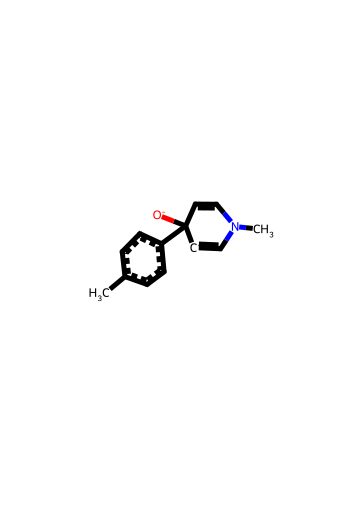 Cc1ccc(C2([O-])[C+]=CN(C)C=C2)cc1